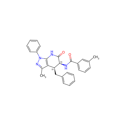 Cc1cccc(C(=O)N[C@@H]2C(=O)Nc3c(c(C)nn3-c3ccccc3)[C@@H]2Cc2ccccc2)c1